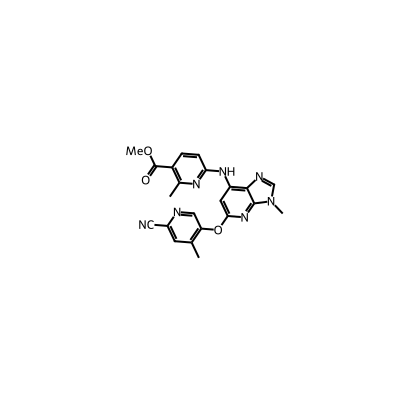 COC(=O)c1ccc(Nc2cc(Oc3cnc(C#N)cc3C)nc3c2ncn3C)nc1C